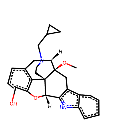 CO[C@@]12Cc3c([nH]c4ccccc34)[C@@H]3Oc4c(O)ccc5c4[C@@]31CCN(CC1CC1)[C@@H]2C5